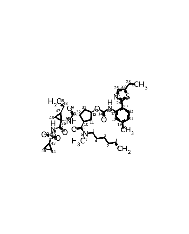 C=CCCCCN(C)C(=O)[C@@H]1C[C@H](OC(=O)Nc2cc(C)ccc2-c2ncc(CC)s2)C[C@H]1C(=O)N[C@]1(C(=O)NS(=O)(=O)C2CC2)C[C@H]1C=C